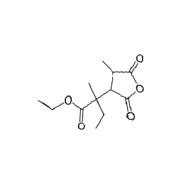 CCOC(=O)C(C)(CC)C1C(=O)OC(=O)C1C